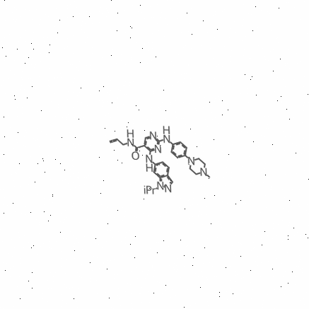 C=CCNC(=O)c1cnc(Nc2ccc(N3CCN(C)CC3)cc2)nc1Nc1ccc2cnn(C(C)C)c2c1